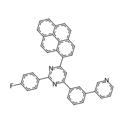 Fc1ccc(-c2nc(-c3cccc(-c4cccnc4)c3)cc(-c3ccc4ccc5cccc6ccc3c4c56)n2)cc1